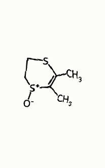 CC1=C(C)[S+]([O-])CCS1